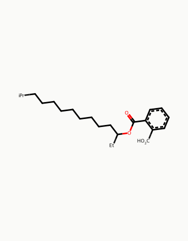 CCC(CCCCCCCCCC(C)C)OC(=O)c1ccccc1C(=O)O